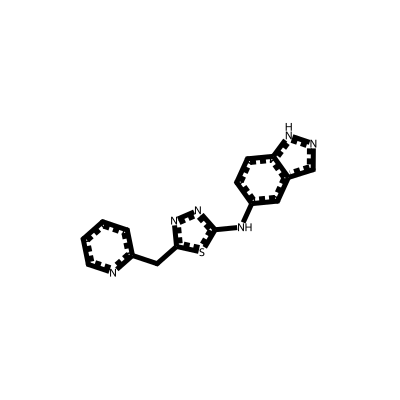 c1ccc(Cc2nnc(Nc3ccc4[nH]ncc4c3)s2)nc1